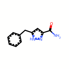 NC(=O)c1cc(Cc2ccccc2)[nH]n1